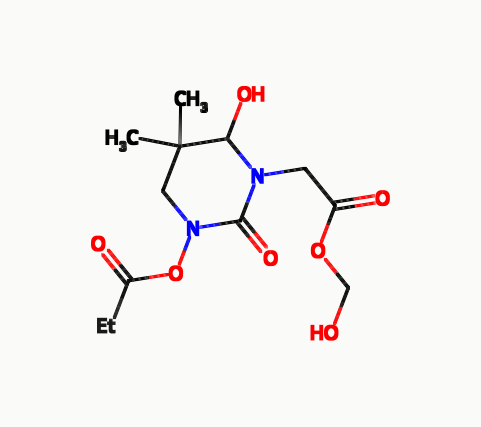 CCC(=O)ON1CC(C)(C)C(O)N(CC(=O)OCO)C1=O